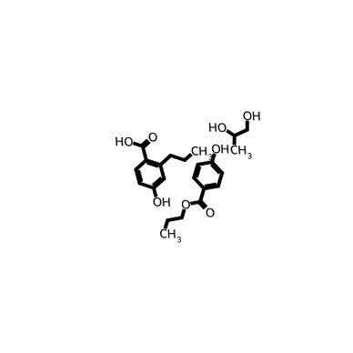 CC(O)CO.CCCOC(=O)c1ccc(O)cc1.CCCc1cc(O)ccc1C(=O)O